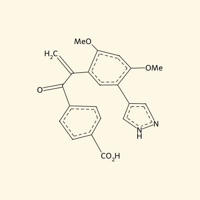 C=C(C(=O)c1ccc(C(=O)O)cc1)c1cc(-c2cn[nH]c2)c(OC)cc1OC